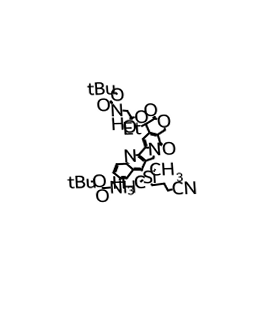 CCC1(OC(=O)CNC(=O)OC(C)(C)C)C(=O)OCc2c1cc1n(c2=O)Cc2c-1nc1ccc(NC(=O)OC(C)(C)C)cc1c2[Si](C)(C)CCCC#N